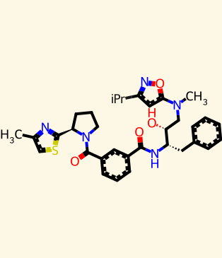 Cc1csc([C@H]2CCCN2C(=O)c2cccc(C(=O)N[C@@H](Cc3ccccc3)[C@H](O)CN(C)c3cc(C(C)C)no3)c2)n1